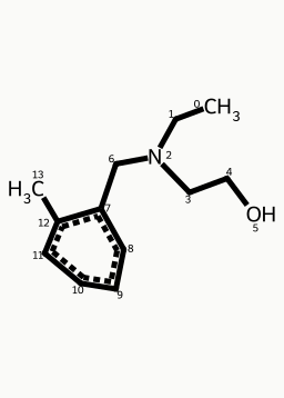 CCN(CCO)Cc1ccccc1C